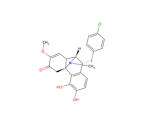 COC1=CC2[C@@H]3[C@H](Sc4ccc(Cl)cc4)c4ccc(O)c(O)c4[C@@]2(CC1=O)CN3C